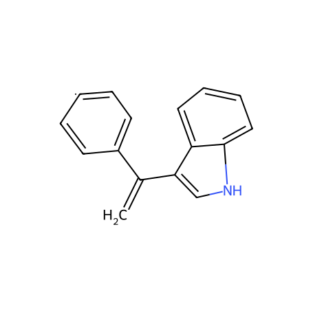 C=C(c1cc[c]cc1)c1c[nH]c2ccccc12